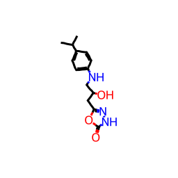 CC(C)c1ccc(NCC(O)Cc2n[nH]c(=O)o2)cc1